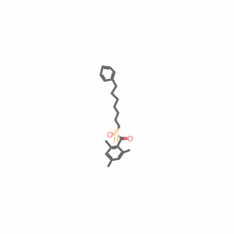 Cc1cc(C)c(C(=O)[PH](=O)CCCCCCCc2ccccc2)c(C)c1